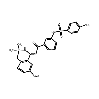 COc1ccc2c(c1)C(=CC(=O)c1cccc(NS(=O)(=O)c3ccc([N+](=O)[O-])cc3)c1)NC(C)(C)C2